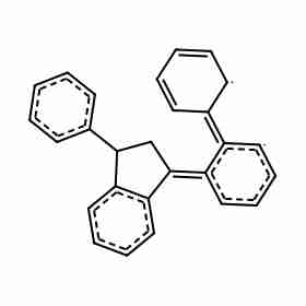 [c]1cccc(=C2CC(c3ccccc3)c3ccccc32)c1=C1[CH]C=CC=C1